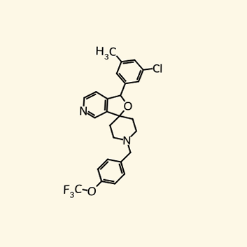 Cc1cc(Cl)cc(C2OC3(CCN(Cc4ccc(OC(F)(F)F)cc4)CC3)c3cnccc32)c1